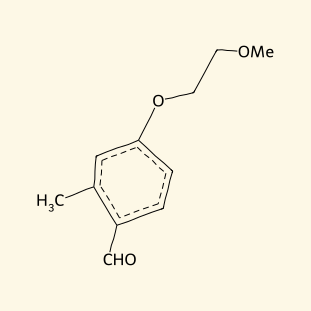 COCCOc1ccc(C=O)c(C)c1